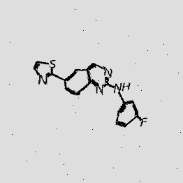 Fc1cccc(Nc2ncc3cc(-c4nccs4)ccc3n2)c1